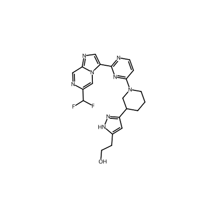 OCCc1cc(C2CCCN(c3ccnc(-c4cnc5cnc(C(F)F)cn45)n3)C2)n[nH]1